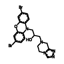 OC(CN1CCn2cnnc2C1)CN1c2ccc(Br)cc2Oc2cc(Br)ccc21